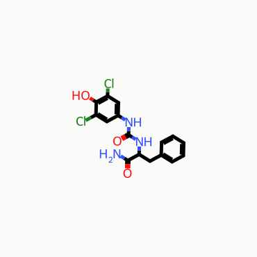 NC(=O)C(Cc1ccccc1)NC(=O)Nc1cc(Cl)c(O)c(Cl)c1